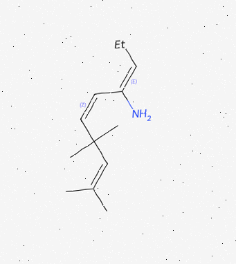 CC/C=C(N)\C=C/C(C)(C)C=C(C)C